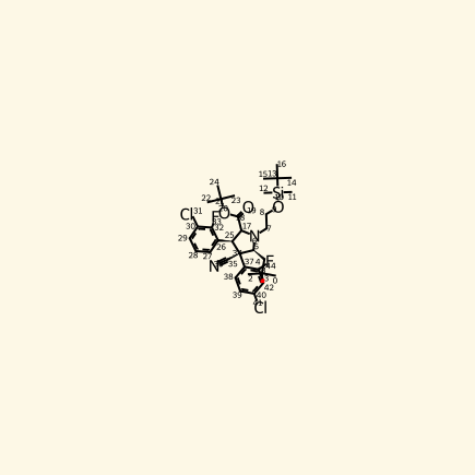 CC(C)(C)C[C@@H]1N(CCO[Si](C)(C)C(C)(C)C)C(C(=O)OC(C)(C)C)[C@H](c2cccc(Cl)c2F)[C@@]1(C#N)c1ccc(Cl)cc1F